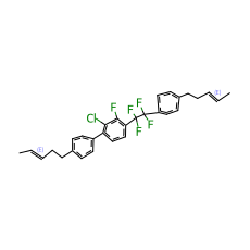 C/C=C/CCc1ccc(-c2ccc(C(F)(F)C(F)(F)c3ccc(CC/C=C/C)cc3)c(F)c2Cl)cc1